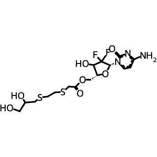 Nc1ccn([C@@H]2O[C@H](COC(=O)CSCCSCC(O)CO)C(O)C2(F)F)c(=O)n1